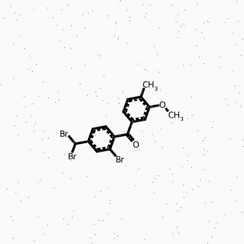 COc1cc(C(=O)c2ccc(C(Br)Br)cc2Br)ccc1C